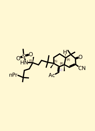 CCCC(C)(C)CC[C@@](C)(CCC(C)(C)[C@]1(C)CC[C@H]2C(C)(C)C(=O)C(C#N)=C[C@]2(C)/C1=C/C(C)=O)NS(C)(=O)=O